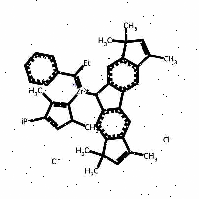 CC/[C](c1ccccc1)=[Zr+2](/[C]1=C(C)C(C(C)C)=CC1C)[CH]1c2cc3c(cc2-c2cc4c(cc21)C(C)(C)C=C4C)C(C)=CC3(C)C.[Cl-].[Cl-]